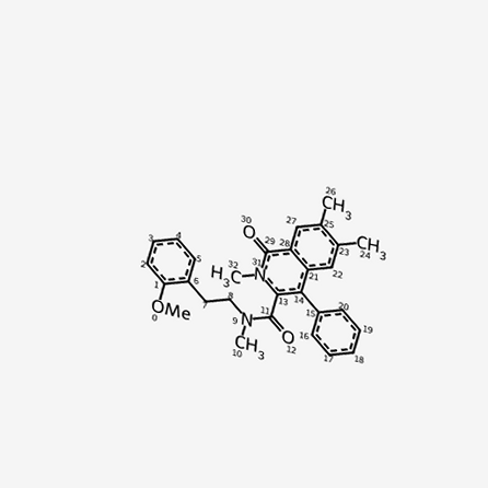 COc1ccccc1CCN(C)C(=O)c1c(-c2ccccc2)c2cc(C)c(C)cc2c(=O)n1C